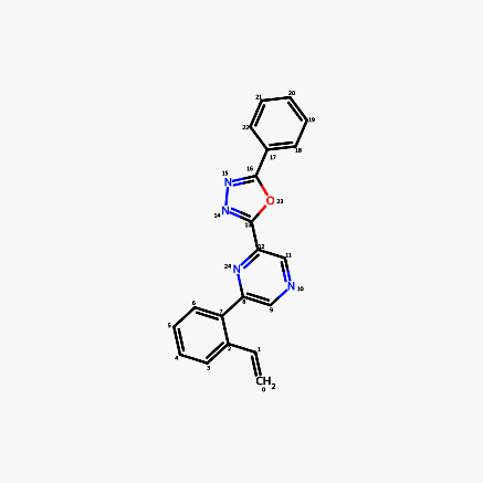 C=Cc1ccccc1-c1cncc(-c2nnc(-c3ccccc3)o2)n1